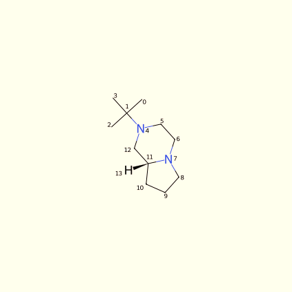 CC(C)(C)N1CCN2CCC[C@@H]2C1